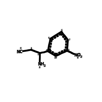 N#CCC(N)c1cccc([N+](=O)[O-])c1